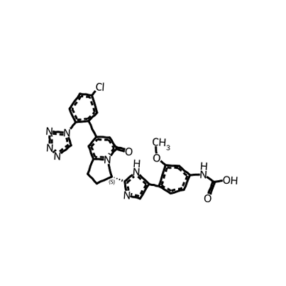 COc1cc(NC(=O)O)ccc1-c1cnc([C@@H]2CCc3cc(-c4cc(Cl)ccc4-n4cnnn4)cc(=O)n32)[nH]1